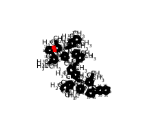 Cc1cc2c3c(c1)N(c1cccc4c1oc1cc5ccccc5cc14)c1ccc(C(C)(C)C)cc1B3c1oc3cc4c(cc3c1N2c1ccc2c(c1)C(C)(C)OCC2(C)C)C(C)(C)CCC4(C)CCC1(C)CCC(C)(C)c2ccc(N3c4cc(C)cc5c4B(c4cc(C(C)(C)C)ccc4N5c4ccc(C(C)(C)C)c5oc6ccccc6c45)c4oc5cc6c(cc5c43)C(C)(C)CCC6(C)C)cc21